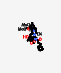 COCOc1c(OC)c(C)cc2c1[C@@H]1C3Cc4c(O)c(C)c5c(c4[C@H](CNC(=O)CCc4ccccc4)N3[C@@H](C#N)C(C2)N1C)OCO5